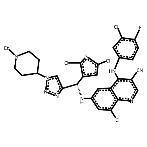 CCN1CCC(n2cc([C@@H](Nc3cc(Cl)c4ncc(C#N)c(Nc5ccc(F)c(Cl)c5)c4c3)c3cc(Cl)sc3Cl)nn2)CC1